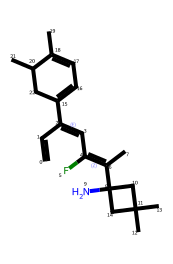 C=C/C(=C\C(F)=C(/C)C1(N)CC(C)(C)C1)C1=CC=C(C)C(C)C1